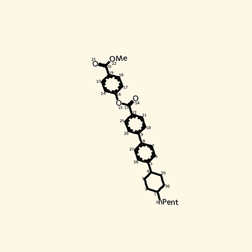 CCCCCC1CCC(c2ccc(-c3ccc(C(=O)Oc4ccc(C(=O)OC)cc4)cc3)cc2)CC1